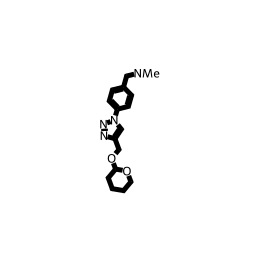 CNCc1ccc(-n2cc(COC3CCCCO3)nn2)cc1